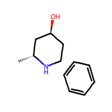 C[C@@H]1C[C@@H](O)CCN1.c1ccccc1